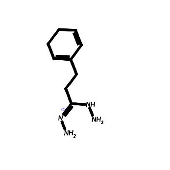 N/N=C(/CCC1=CCCC=C1)NN